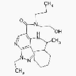 CCCN(CCO)C(=O)c1cnc2c(cnn2CC)c1NC(C)C1CCCCC1